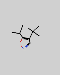 CC(C)c1oncc1C(C)(C)C